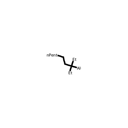 CCCCCCC[C]([Al])(CC)CC